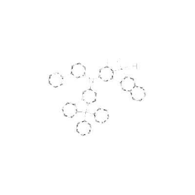 CC1(C)c2ccc(N(c3cccc(-c4ccccc4)c3)c3ccc4c(c3)-c3ccccc3C4(c3ccccc3)c3ccccc3)cc2-c2cc3ccccc3cc21